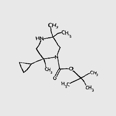 CC1(C)CN(C(=O)OC(C)(C)C)C(C)(C2CC2)CN1